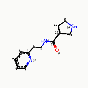 O=C(NCCc1ccccn1)C1CCNC1